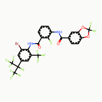 O=C(Nc1cccc(C(=O)Nc2c(Br)cc(C(F)(C(F)(F)F)C(F)(F)F)cc2C(F)(F)F)c1F)c1ccc2c(c1)OC(F)(F)O2